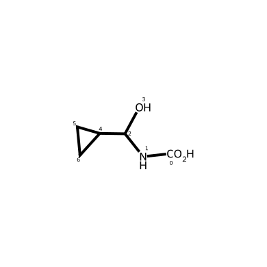 O=C(O)NC(O)C1CC1